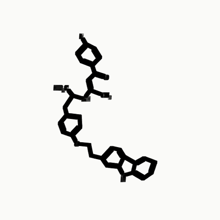 CC(=CC(=O)c1ccc(F)cc1)NC(Cc1ccc(OCCc2ccc3c(c2)[nH]c2ccccc23)cc1)C(=O)O